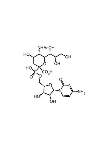 CC(=O)N[C@H]1C([C@H](O)[C@H](O)CO)O[C@](C(=O)O)(P(=O)(O)OC[C@H]2O[C@@H](n3ccc(N)nc3=O)C(O)[C@H]2O)C[C@H]1O